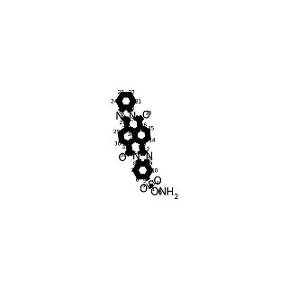 NOS(=O)(=O)c1ccc2c(c1)nc1c3ccc4c(=O)n5c6ccccc6nc5c5ccc(c(=O)n21)c3c45